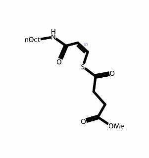 CCCCCCCCNC(=O)/C=C\SC(=O)CCC(=O)OC